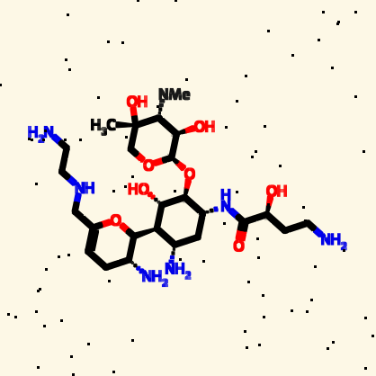 CN[C@@H]1[C@@H](O)[C@@H](O[C@@H]2[C@@H](O)[C@H](C3OC(CNCCN)=CC[C@H]3N)[C@@H](N)C[C@H]2NC(=O)[C@@H](O)CCN)OC[C@]1(C)O